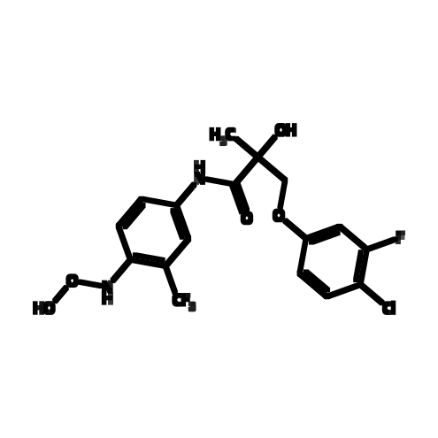 CC(O)(COc1ccc(Cl)c(F)c1)C(=O)Nc1ccc(NOO)c(C(F)(F)F)c1